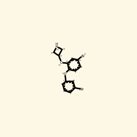 Brc1cccc(Oc2ccc(Br)cc2OC2CNC2)c1